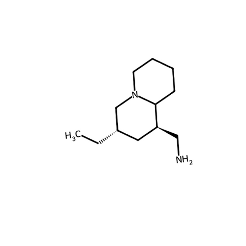 CC[C@H]1C[C@H](CN)C2CCCCN2C1